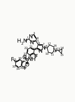 Nc1nccc(-c2cn(C3CCN(C4CC4)CC3)nc2-c2cccc(NS(=O)(=O)c3cc(F)ccc3F)c2F)n1